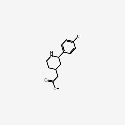 O=C(O)CC1CCNC(c2ccc(Cl)cc2)C1